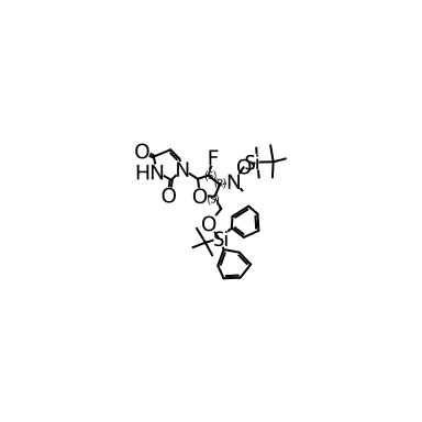 CN(O[Si](C)(C)C(C)(C)C)[C@H]1[C@H](F)C(n2ccc(=O)[nH]c2=O)O[C@@H]1CO[Si](c1ccccc1)(c1ccccc1)C(C)(C)C